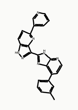 Cc1cccc(-c2ccnc3[nH]c(-c4n[nH]c5ccc(-c6cccnc6)nc45)nc23)c1